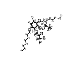 CCCCCCCCOc1c(C)c(C)c(OCCCCCCCC)[c]([Hg][O]C(=O)C(F)(F)F)[c]1[Hg][O]C(=O)C(F)(F)F